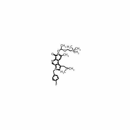 Cc1cc2c(ncc3c2c(CN(C)C)cn3Cc2ccc(F)cc2)c(=O)n1OC(C)OCC[Si](C)(C)C